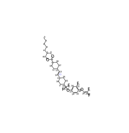 CCCCCC1COC(C2CCC(/C=C/C3CCC(C(F)(F)Oc4ccc(OC=C(F)F)c(F)c4)CC3)CC2)OC1